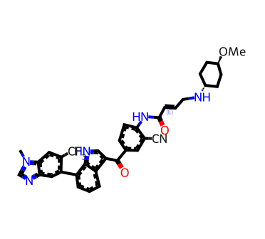 CO[C@H]1CC[C@H](NC/C=C/C(=O)Nc2ccc(C(=O)c3c[nH]c4c(-c5cc6ncn(C)c6cc5C(F)(F)F)cccc34)cc2C#N)CC1